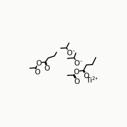 CC(C)[O-].CC(C)[O-].CCCC(=O)OC(C)=O.CCCC(=O)OC(C)=O.[Ti+2]